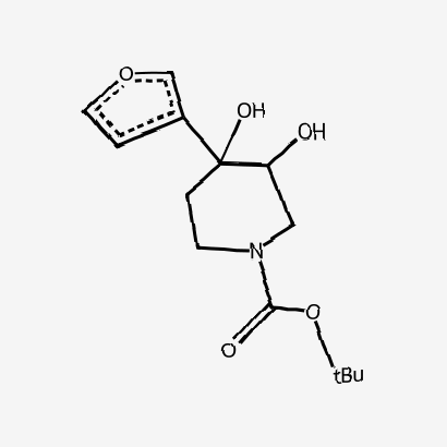 CC(C)(C)OC(=O)N1CCC(O)(c2ccoc2)C(O)C1